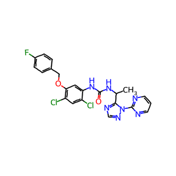 CC(NC(=O)Nc1cc(OCc2ccc(F)cc2)c(Cl)cc1Cl)c1ncnn1-c1ncccn1